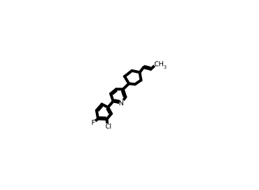 CC=CC1CCC(c2ccc(-c3ccc(F)c(Cl)c3)nc2)CC1